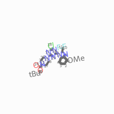 COc1cccc2c1nc(C(F)F)n2-c1nc(Cl)nc(N2CCN(C(=O)OC(C)(C)C)CC2)n1